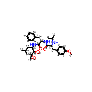 COc1ccc(C[C@H](NC(C)C)C(=O)N[C@@H](Cc2ccccc2)C(=O)NC(CC(C)C)C(=O)[C@@]2(C)CO2)cc1